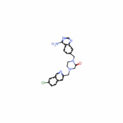 Nc1ncnc2cc(CN3CCN(Cc4cc5ccc(Cl)cc5cn4)CC3=O)ccc12